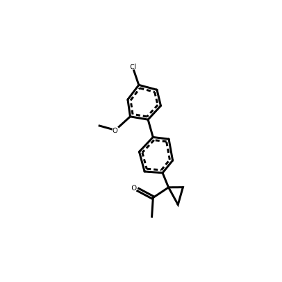 COc1cc(Cl)ccc1-c1ccc(C2(C(C)=O)CC2)cc1